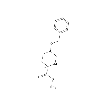 NOC(=O)[C@@H]1CCC(OCc2ccccc2)CN1